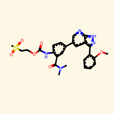 COc1ccccc1-c1n[nH]c2ncc(-c3ccc(NC(=O)OCCS(C)(=O)=O)c(C(=O)N(C)C)c3)cc12